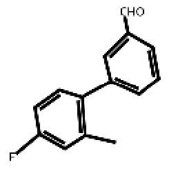 Cc1cc(F)ccc1-c1cccc(C=O)c1